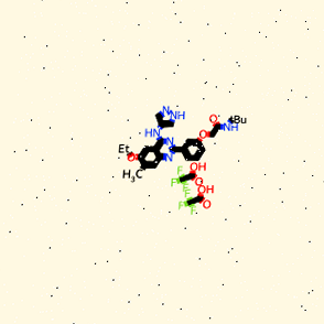 CCOc1cc2c(Nc3cn[nH]c3)nc(-c3cccc(OCC(=O)NC(C)(C)C)c3)nc2cc1C.O=C(O)C(F)(F)F.O=C(O)C(F)(F)F